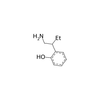 CCC(CN)c1ccccc1O